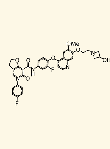 COc1cc2c(Oc3ccc(NC(=O)c4c5c(cn(-c6ccc(F)cc6)c4=O)CCO5)cc3F)ccnc2cc1OCCN1CC(O)C1